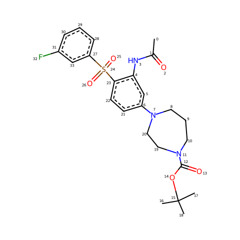 CC(=O)Nc1cc(N2CCCN(C(=O)OC(C)(C)C)CC2)ccc1S(=O)(=O)c1cccc(F)c1